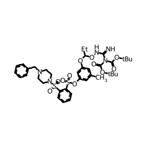 CCC(ONC(=N)N(C(=O)OC(C)(C)C)C(=O)OC(C)(C)C)Oc1cc(C)cc(OS(=O)(=O)c2ccccc2S(=O)(=O)N2CCN(Cc3ccccc3)CC2)c1